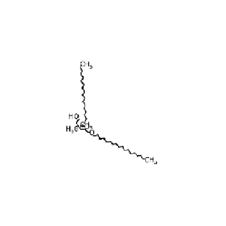 CCCCCCCCCCCCCCCCCCOCC(C[N+](C)(C)CCO)OCCCCCCCCCCCCCCCCCC